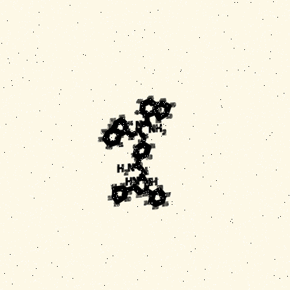 N/C(=N\N(Cc1ccc(C(N)/N=C2\NC(c3ccccc3)=CC(c3ccccc3)N2)cc1)Cc1cccc2ccccc12)c1cccc2ccccc12